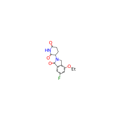 CCOc1cc(F)cc2c1CN(C1CCC(=O)NC1=O)C2=O